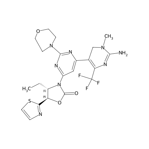 CC[C@H]1[C@H](c2nccs2)OC(=O)N1c1cc(C2=C(C(F)(F)F)N=C(N)N(C)C2)nc(N2CCOCC2)n1